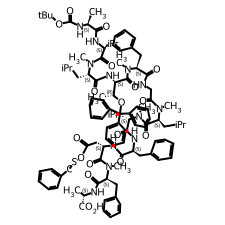 CC(C)C[C@@H](C(=O)N(C)[C@H](C(=O)N[C@@H](Cc1ccccc1)C(=O)N[C@@H](CC(=O)OSCc1ccccc1)C(=O)N(C)[C@@H](Cc1ccccc1)C(=O)N[C@@H](C)C(=O)O)C(C)C)N(C)C(=O)CNC(=O)[C@H](Cc1ccccc1)N(C)C(=O)[C@@H](NC(=O)[C@H](CC(C)C)N(C)C(=O)[C@@H](NC(=O)[C@H](C)NC(=O)OC(C)(C)C)C(C)C)[C@@H](C)OC(c1ccccc1)(c1ccccc1)c1ccccc1